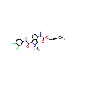 CC#CCOC(=O)NC1CCc2c1cn(C)c2C(=O)Nc1ccc(F)c(Cl)c1